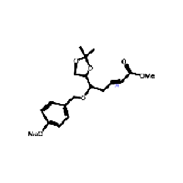 COC(=O)/C=C/CC(OCc1ccc(OC)cc1)C1COC(C)(C)O1